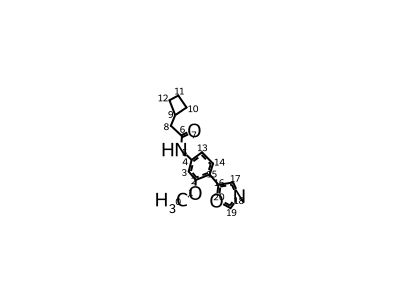 COc1cc(NC(=O)CC2CCC2)ccc1-c1cnco1